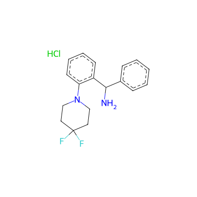 Cl.NC(c1ccccc1)c1ccccc1N1CCC(F)(F)CC1